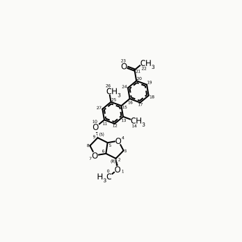 CO[C@@H]1COC2C1OC[C@@H]2Oc1cc(C)c(-c2cccc(C(C)=O)c2)c(C)c1